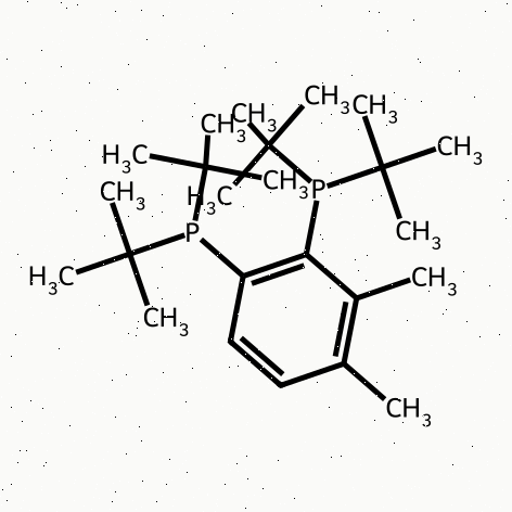 Cc1ccc(P(C(C)(C)C)C(C)(C)C)c(P(C(C)(C)C)C(C)(C)C)c1C